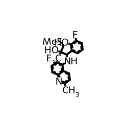 CSCC(O)(C(Nc1cccc2nc(C)ccc12)c1cccc(F)c1O)C(F)(F)F